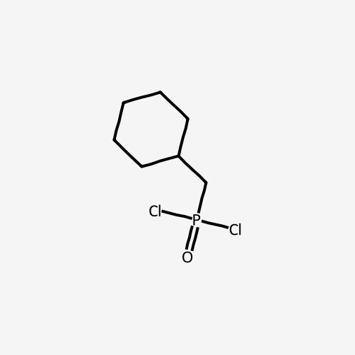 O=P(Cl)(Cl)CC1CCCCC1